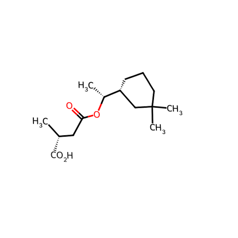 C[C@H](CC(=O)O[C@H](C)[C@@H]1CCCC(C)(C)C1)C(=O)O